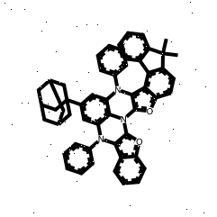 CC1(C)c2ccccc2-c2c1ccc1oc3c(c21)N(c1ccccc1)c1cc(C24CC5CC(CC(C5)C2)C4)cc2c1N3c1oc3ccccc3c1N2c1ccccc1